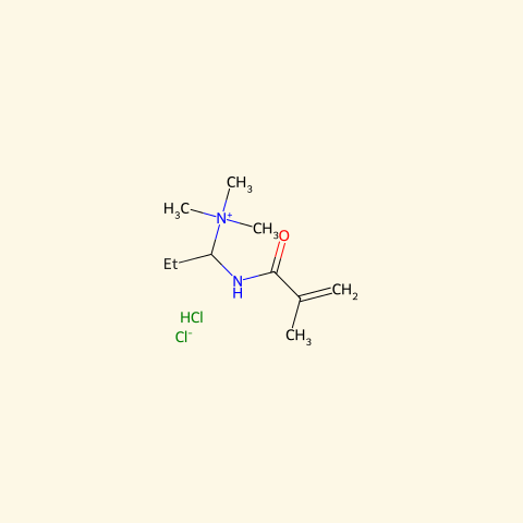 C=C(C)C(=O)NC(CC)[N+](C)(C)C.Cl.[Cl-]